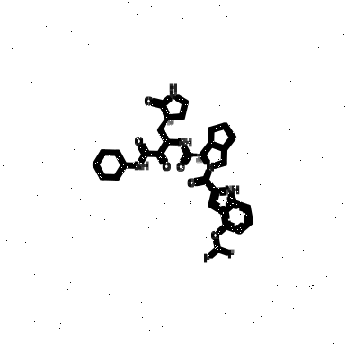 O=C(NC1CCCCC1)C(=O)C(C[C@@H]1CCNC1=O)NC(=O)[C@@H]1C2CCCC2CN1C(=O)c1cc2c(OC(F)F)cccc2[nH]1